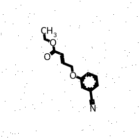 CCOC(=O)C=CCOc1cccc(C#N)c1